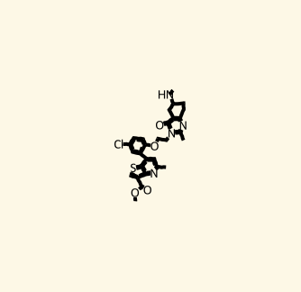 CNC1CCc2nc(C)n(CCOc3ccc(Cl)cc3-c3cc(C)nc4c(C(=O)OC)csc34)c(=O)c2C1